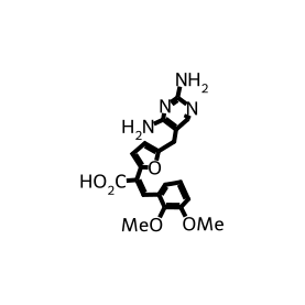 COc1cccc(C=C(C(=O)O)c2ccc(Cc3cnc(N)nc3N)o2)c1OC